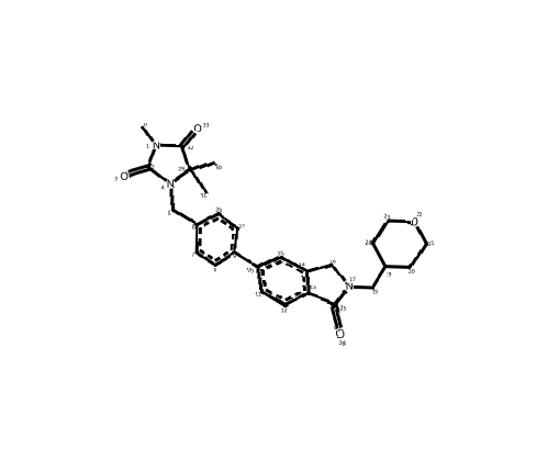 CN1C(=O)N(Cc2ccc(-c3ccc4c(c3)CN(CC3CCOCC3)C4=O)cc2)C(C)(C)C1=O